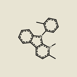 Cc1ccccc1-n1c2ccccc2c2ccc(C)[n+](C)c21